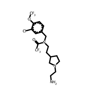 NCCN1CCC(CCN(Cc2ccc(OC(F)(F)F)c(Cl)c2)C(=O)C(F)(F)F)C1